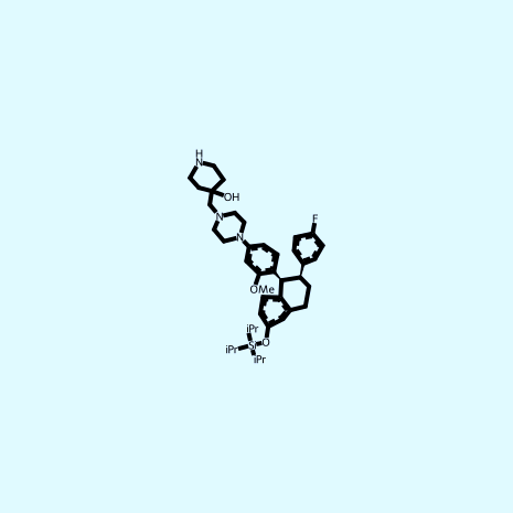 COc1cc(N2CCN(CC3(O)CCNCC3)CC2)ccc1[C@@H]1c2ccc(O[Si](C(C)C)(C(C)C)C(C)C)cc2CC[C@@H]1c1ccc(F)cc1